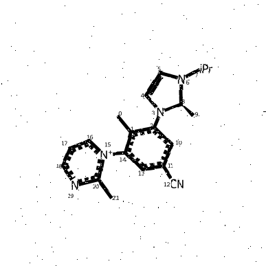 Cc1c(N2C=CN(C(C)C)[C@H]2C)cc(C#N)cc1-[n+]1cccnc1C